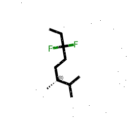 CCC(F)(F)CC[C@@H](C)C(C)C